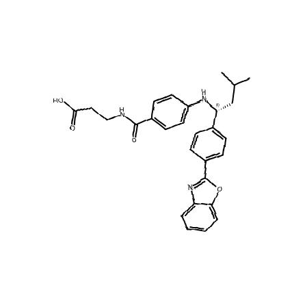 CC(C)C[C@@H](Nc1ccc(C(=O)NCCC(=O)O)cc1)c1ccc(-c2nc3ccccc3o2)cc1